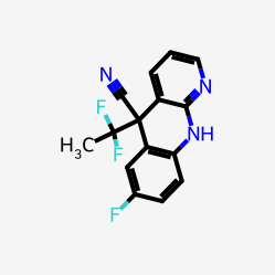 CC(F)(F)C1(C#N)c2cc(F)ccc2Nc2ncccc21